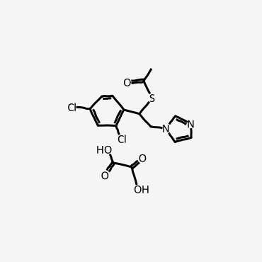 CC(=O)SC(Cn1ccnc1)c1ccc(Cl)cc1Cl.O=C(O)C(=O)O